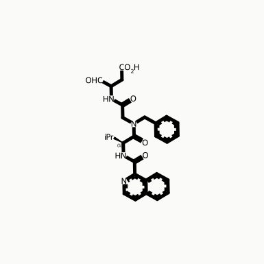 CC(C)[C@H](NC(=O)c1nccc2ccccc12)C(=O)N(CC(=O)NC(C=O)CC(=O)O)Cc1ccccc1